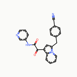 N#Cc1ccc(Cc2cc(C(=O)C(=O)Nc3cccnc3)c3ccccn23)cc1